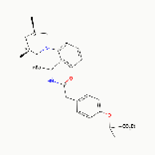 CCCCC(NC(=O)Cc1ccc(OC(C)(C)C(=O)OCC)cc1)c1ccccc1N1C[C@H](C)C[C@H](C)C1